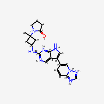 CC1(N2CCCC2=O)CC(Nc2ncc3c(-c4ccc5ncnn5c4)c[nH]c3n2)C1